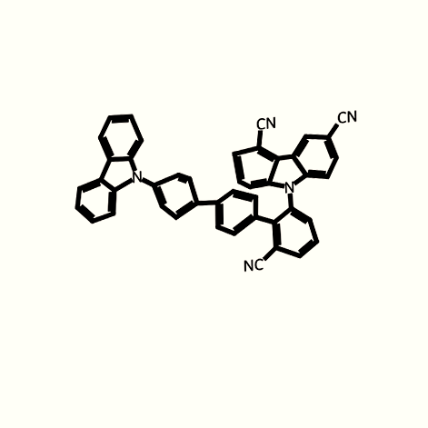 N#Cc1ccc2c(c1)c1c(C#N)cccc1n2-c1cccc(C#N)c1-c1ccc(-c2ccc(-n3c4ccccc4c4ccccc43)cc2)cc1